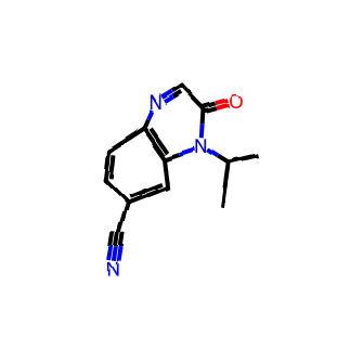 CC(C)n1c(=O)cnc2ccc(C#N)cc21